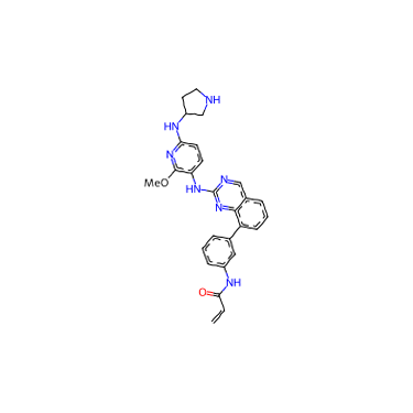 C=CC(=O)Nc1cccc(-c2cccc3cnc(Nc4ccc(NC5CCNC5)nc4OC)nc23)c1